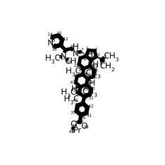 C=C(C)[C@@H]1CC[C@]2(CNCC(c3cccnc3)N(C)C)CC[C@]3(C)[C@H](CC[C@@H]4[C@@]5(C)CC=C(c6ccc(C(=O)OC(C)C)cc6)C(C)(C)[C@@H]5CC[C@]43C)[C@@H]12